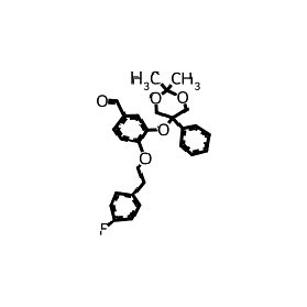 CC1(C)OCC(Oc2cc(C=O)ccc2OCCc2ccc(F)cc2)(c2ccccc2)CO1